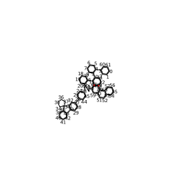 c1ccc(-c2ccccc2-c2ccccc2-c2ccccc2N(c2ccc(-c3ccc4c(c3)C3(CCCC3)c3ccccc3-4)cc2)c2ccc3c(ccc4ccccc43)c2)cc1